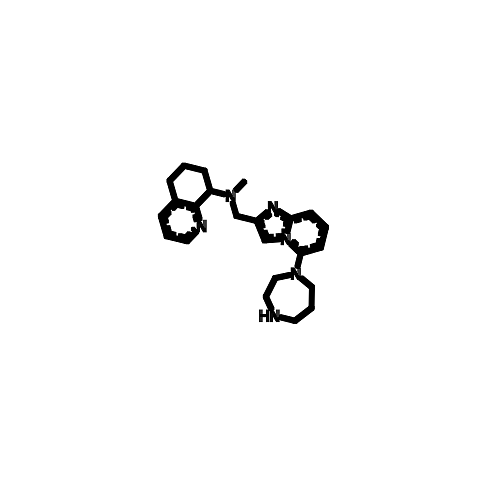 CN(Cc1cn2c(N3CCCNCC3)cccc2n1)C1CCCc2cccnc21